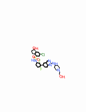 O=S(=O)(Nc1ccc(F)c(-c2ccc3nc(NC4CCN(CCO)CC4)ncc3c2)c1F)c1cc(Cl)cc2c1CCC2O